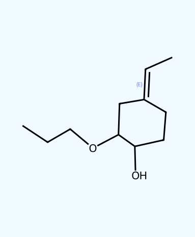 C/C=C1\CCC(O)C(OCCC)C1